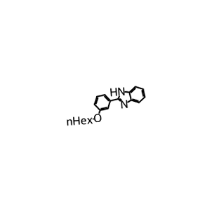 CCCCCCOc1cccc(-c2nc3ccccc3[nH]2)c1